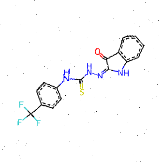 O=C1C(=NNC(=S)Nc2ccc(C(F)(F)F)cc2)Nc2ccccc21